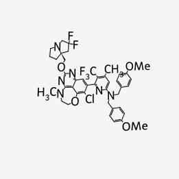 COc1ccc(CN(Cc2ccc(OC)cc2)c2cc(C)c(C(F)(F)F)c(-c3cc4nc(OC[C@@]56CCCN5CC(F)(F)C6)nc5c4c(c3Cl)OCCN5C)n2)cc1